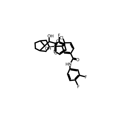 O=C(Nc1ccc(F)c(F)c1)c1ccc(Cl)c(S(=O)(=O)[C@H]2CC3CCC(C2)[C@]3(O)C(O)c2ncccc2F)c1